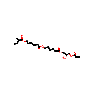 C=CC(=O)OCC(O)COC(=O)CCCCCOC(=O)CCCCCOC(=O)C(C)CC